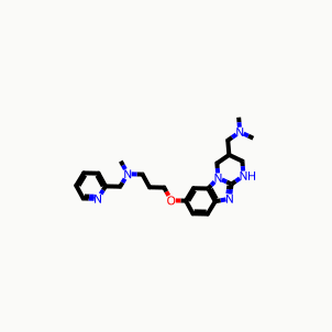 CN(C)CC1CNc2nc3ccc(OCCCN(C)Cc4ccccn4)cc3n2C1